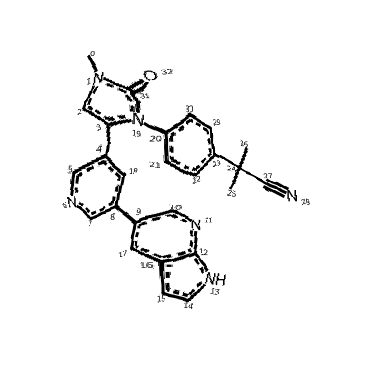 Cn1cc(-c2cncc(-c3cnc4[nH]ccc4c3)c2)n(-c2ccc(C(C)(C)C#N)cc2)c1=O